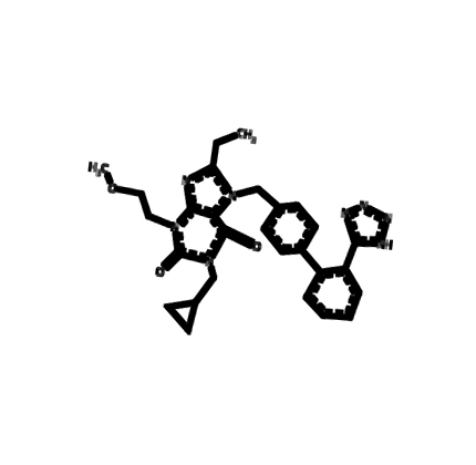 CCc1nc2c(c(=O)n(CC3CC3)c(=O)n2CCOC)n1Cc1ccc(-c2ccccc2-c2nnn[nH]2)cc1